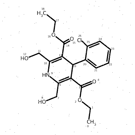 CCOC(=O)C1=C(CO)NC(CO)=C(C(=O)OCC)C1c1ccccc1Cl